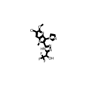 COc1nc2c(-n3ccnc3)c(-c3nnc(C(O)C(F)(F)F)[nH]3)n(C)c2cc1Cl